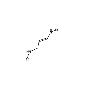 CCN/C=C/CNCC